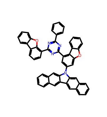 c1ccc(-c2nc(-c3cccc4c3oc3ccccc34)nc(-c3cc(-n4c5cc6ccccc6cc5c5cc6ccccc6cc54)cc4oc5ccccc5c34)n2)cc1